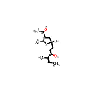 C/C=C(/C)C(=O)CCC(C)(CCC(C)=O)CCC(=O)NC